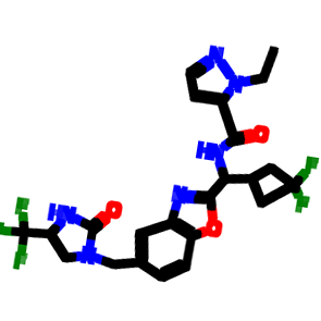 CCn1nccc1C(=O)NC(c1nc2cc(CN3CC(C(F)(F)F)NC3=O)ccc2o1)C1CC(F)(F)C1